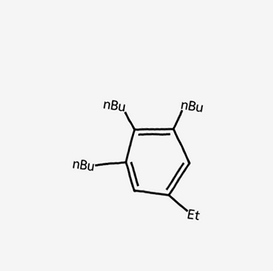 CCCCc1cc(CC)cc(CCCC)c1CCCC